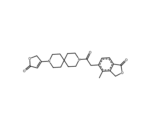 Cc1c(CC(=O)N2CCC3(CC2)CCN(C2=CC(=O)OC2)CC3)ccc2c1COC2=O